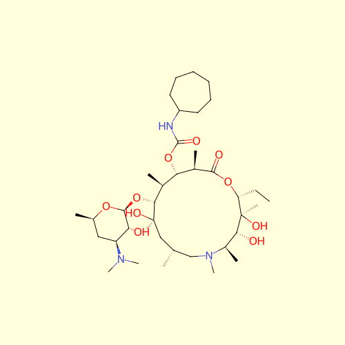 CC[C@H]1OC(=O)[C@H](C)[C@@H](OC(=O)NC2CCCCCC2)[C@H](C)[C@@H](O[C@@H]2O[C@H](C)C[C@H](N(C)C)[C@H]2O)[C@](C)(O)C[C@@H](C)CN(C)[C@H](C)[C@@H](O)[C@]1(C)O